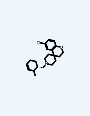 CC1C=CCC[C@@H]1CN1CCC2(CCOc3ccc(Cl)cc32)CC1